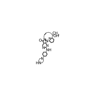 C[C@]1(O)CC/C=C\Cn2c(=O)c3cnc(Nc4ccc(N5CCNCC5)cc4)nc3n2-c2cccc1n2